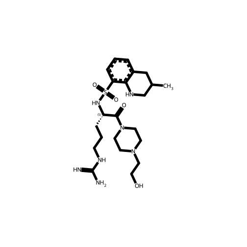 CC1CNc2c(cccc2S(=O)(=O)N[C@@H](CCCNC(=N)N)C(=O)N2CCN(CCO)CC2)C1